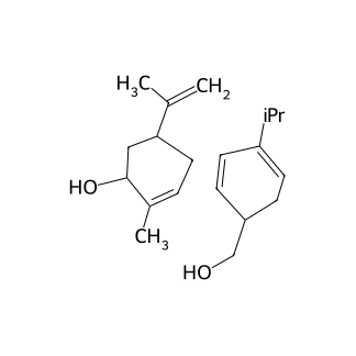 C=C(C)C1CC=C(C)C(O)C1.CC(C)C1=CCC(CO)C=C1